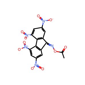 CC(=O)ON=C1c2cc([N+](=O)[O-])cc([N+](=O)[O-])c2-c2c1cc([N+](=O)[O-])cc2[N+](=O)[O-]